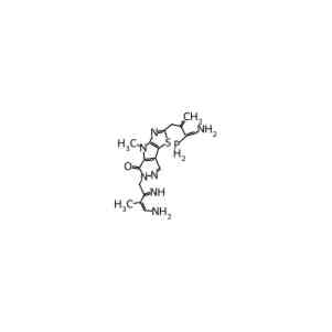 C=C(Cc1nc2c(s1)c1cnn(CC(=N)/C(C)=C\N)c(=O)c1n2C)/C(P)=C\N